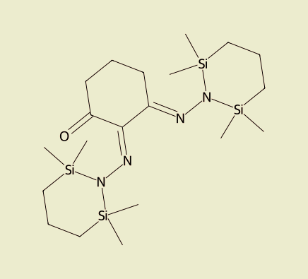 C[Si]1(C)CCC[Si](C)(C)N1N=C1CCCC(=O)C1=NN1[Si](C)(C)CCC[Si]1(C)C